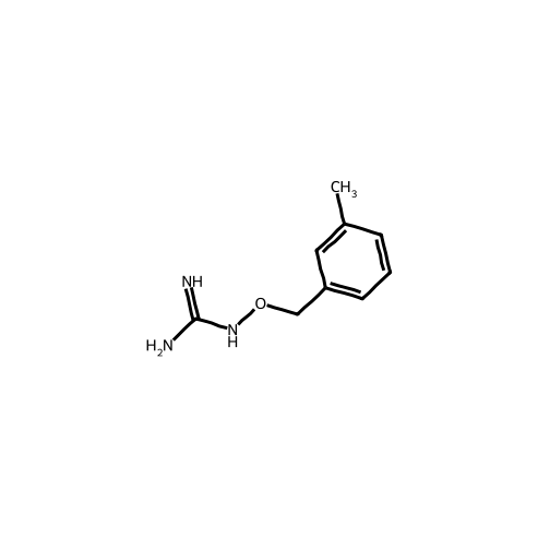 Cc1cccc(CONC(=N)N)c1